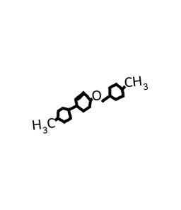 CC1CCC(COC2C=CC(C3CCC(C)CC3)CC2)CC1